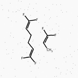 CC=C(F)F.FC(F)=CCCC=C(F)F